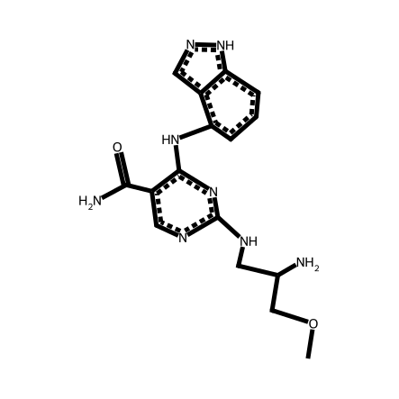 COCC(N)CNc1ncc(C(N)=O)c(Nc2cccc3[nH]ncc23)n1